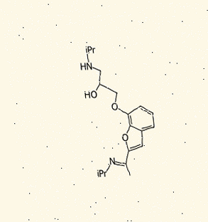 C/C(=N\C(C)C)c1cc2cccc(OCC(O)CNC(C)C)c2o1